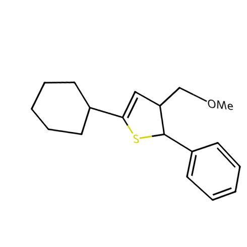 COCC1C=C(C2CCCCC2)SC1c1ccccc1